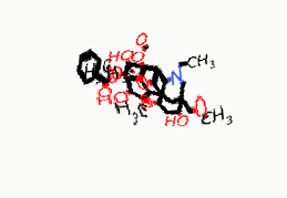 CCN1CC2(COC)C(O)CC(OC)C34C5CC6(O)C(OC)C(O)C(OC=O)(C5C6OC(=O)c5ccccc5)C(C(OC)C23)C14